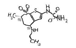 CCN[C@H]1C[C@H](C)S(=O)(=O)c2sc(NS(N)(=O)=O)cc21